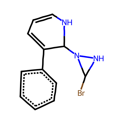 BrC1NN1C1NC=CC=C1c1ccccc1